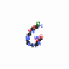 CC1(C)C(NC(=O)c2ccc(N3CCN(CC4CCN(CC5CN(c6ccc7nnn(C8CCC(=O)NC8=O)c(=O)c7c6)C5)CC4)CC3)cc2)C(C)(C)C1Oc1ccc(C#N)c(Cl)c1